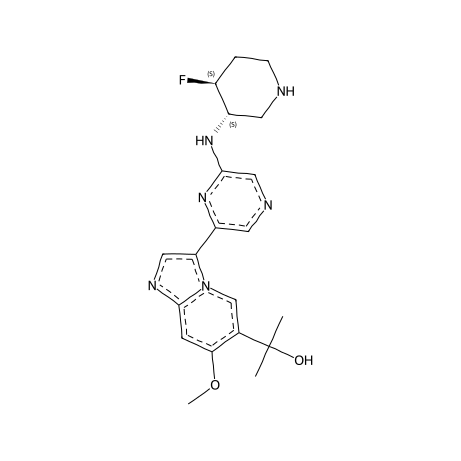 COc1cc2ncc(-c3cncc(N[C@H]4CNCC[C@@H]4F)n3)n2cc1C(C)(C)O